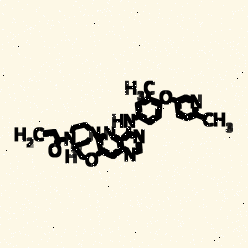 C=CC(=O)N1CCN2C[C@@H]1COc1cc3ncnc(Nc4ccc(Oc5ccc(C)nc5)c(C)c4)c3nc12